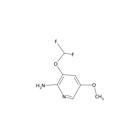 COc1cnc(N)c(OC(F)F)c1